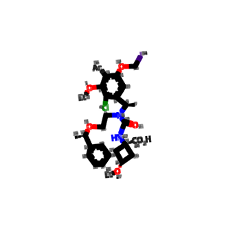 CCOc1c(Cl)c([C@@H](C)N(CCO[C@@H](C)c2ccccc2)C(=O)N[C@]2(C(=O)O)C[C@@H](OCC)C2)cc(OCI)c1C(C)=O